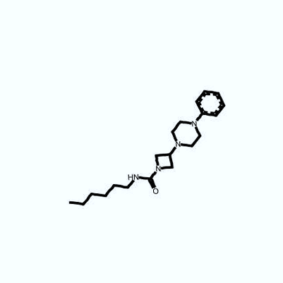 CCCCCCNC(=O)N1CC(N2CCN(c3ccccc3)CC2)C1